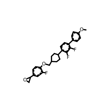 COc1ccc(-c2ccc(C3CCC(COc4ccc(C5CO5)cc4F)CC3)c(F)c2F)cc1